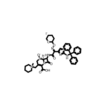 C[N+]1(CC2=C(C(=O)O)N3C(=O)C(NC(=O)C(=NOC4CCCCO4)c4csc(NC(c5ccccc5)(c5ccccc5)c5ccccc5)n4)[C@@H]3[S+]([O-])C2)CCCCC1.[I-]